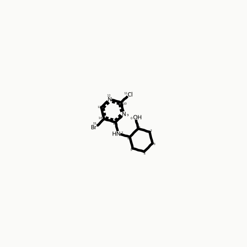 OC1CCCCC1Nc1nc(Cl)ncc1Br